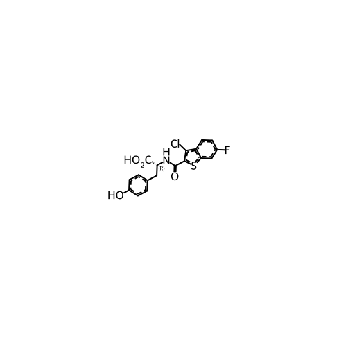 O=C(N[C@H](Cc1ccc(O)cc1)C(=O)O)c1sc2cc(F)ccc2c1Cl